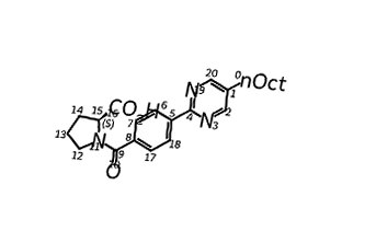 CCCCCCCCc1cnc(-c2ccc(C(=O)N3CCC[C@H]3C(=O)O)cc2)nc1